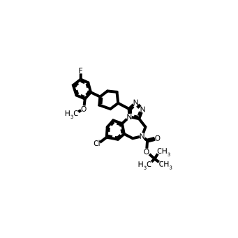 COc1ccc(F)cc1C1=CCC(c2nnc3n2-c2ccc(Cl)cc2CN(C(=O)OC(C)(C)C)C3)CC1